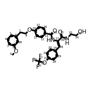 COc1cccc(CCOc2ccc(C(=O)N/C(=C\c3ccc(OC(F)(F)F)cc3)C(=O)NCCO)cc2)c1